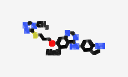 COc1cc2c(Nc3ccc4[nH]ccc4c3)ncnc2cc1OCCCSc1nncn1C